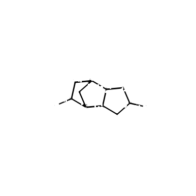 CC(=O)C1CC2C3CC(C=O)C(C3)C2C1